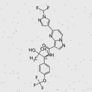 CC(C)(O)[C@@H](NC(=O)c1cnn2ccc(-c3cnn(C(F)F)c3)nc12)c1ccc(OC(F)(F)F)cc1